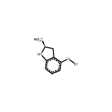 CCOc1cccc2c1C[C@H](C(=O)O)N2